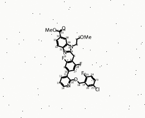 COCCn1c(Cc2c(F)cc(-c3cccnc3OCc3cc(Cl)ccc3F)cc2F)nc2ccc(C(=O)OC)cc21